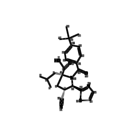 CC(C)C[C@@]1(C(=O)O)C[C@@H](C#N)[C@H](c2nccs2)N1C(=O)c1ccc(C(C)(C)C)cc1